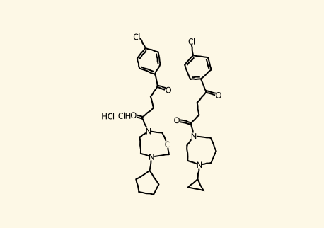 Cl.Cl.O=C(CCC(=O)N1CCCN(C2CC2)CC1)c1ccc(Cl)cc1.O=C(CCC(=O)N1CCCN(C2CCCC2)CC1)c1ccc(Cl)cc1